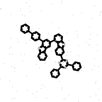 c1ccc(-c2ccc(-c3cc(-c4cccc5sc6cc(-c7nc(-c8ccccc8)nc(-c8ccccc8)n7)ccc6c45)cc4c3oc3ccccc34)cc2)cc1